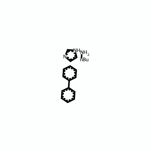 CCCCN.c1c[nH]cn1.c1ccc(-c2ccccc2)cc1